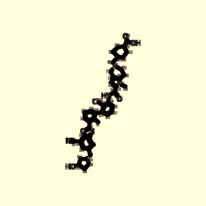 Cc1c(-c2nc3cc(CN4CC[C@@H](O)C4)cc(C#N)c3o2)cccc1-c1cccc(NC(=O)c2nc3c(n2C)CCN(CC2CCC(C(=O)O)CC2)C3)c1Cl